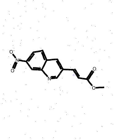 COC(=O)/C=C/c1cnc2cc([N+](=O)[O-])ccc2c1